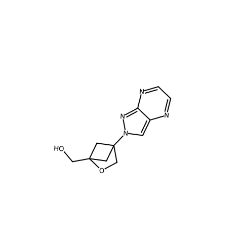 OCC12CC(n3cc4nccnc4n3)(CO1)C2